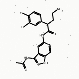 CC(=O)Nc1n[nH]c2ccc(NC(=O)C(CCN)c3ccc(Cl)c(Cl)c3)cc12